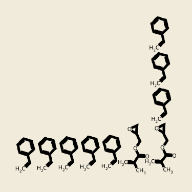 C=C(C)C(=O)OCC1CO1.C=C(C)C(=O)OCC1CO1.C=Cc1ccccc1.C=Cc1ccccc1.C=Cc1ccccc1.C=Cc1ccccc1.C=Cc1ccccc1.C=Cc1ccccc1.C=Cc1ccccc1.C=Cc1ccccc1